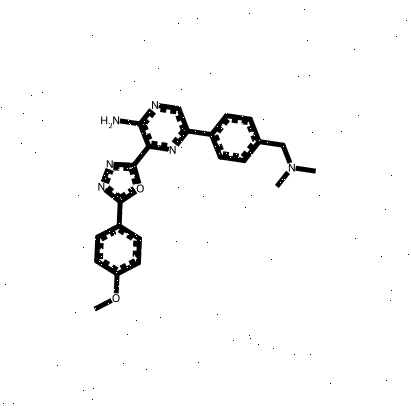 COc1ccc(-c2nnc(-c3nc(-c4ccc(CN(C)C)cc4)cnc3N)o2)cc1